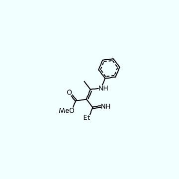 CCC(=N)/C(C(=O)OC)=C(/C)Nc1ccccc1